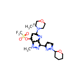 C[C@@H]1COCCN1c1cc(OS(=O)(=O)C(F)(F)F)c2c(n1)c(-c1ccn(C3CCCCO3)n1)nn2C